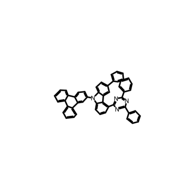 c1ccc(-c2ccc3c(c2)c2c(-c4nc(-c5ccccc5)nc(-c5ccccc5)n4)cccc2n3-c2ccc3c4ccccc4c4ccccc4c3c2)cc1